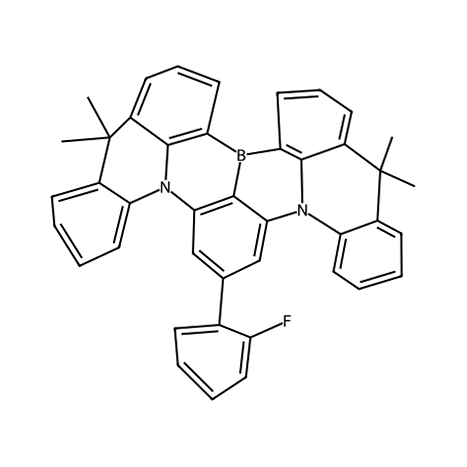 CC1(C)c2ccccc2N2c3cc(-c4ccccc4F)cc4c3B(c3cccc1c32)c1cccc2c1N4c1ccccc1C2(C)C